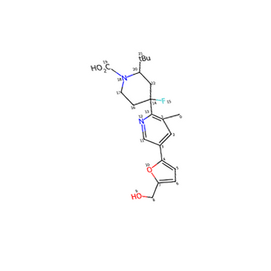 Cc1cc(-c2ccc(CO)o2)cnc1C1(F)CCN(C(=O)O)C(C(C)(C)C)C1